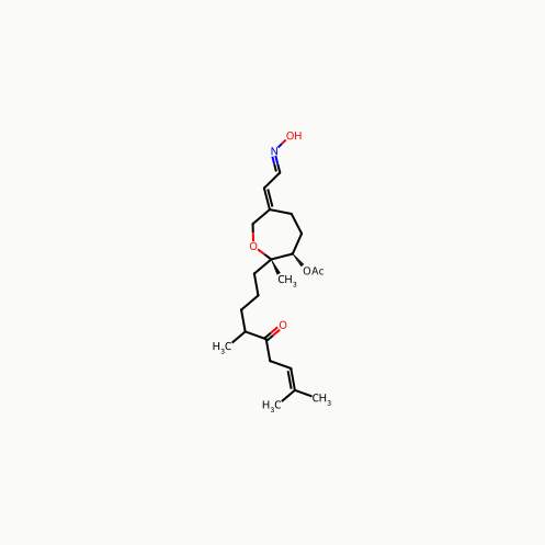 CC(=O)O[C@@H]1CCC(=CC=NO)CO[C@@]1(C)CCCC(C)C(=O)CC=C(C)C